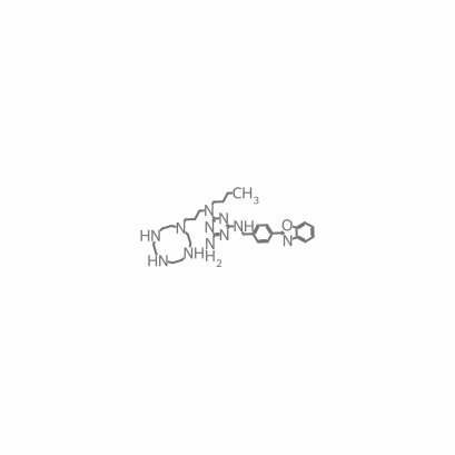 CCCCN(CCCN1CCNCCNCCNCC1)c1nc(N)nc(NCc2ccc(-c3nc4ccccc4o3)cc2)n1